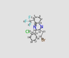 FC(F)(F)c1cccc2nc(CCBr)c(-c3ccccc3Cl)nc12